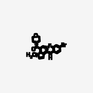 Cn1ccc2c(Nc3ccc(Br)cc3F)ncc(C(=O)N3CCOCC3)c21